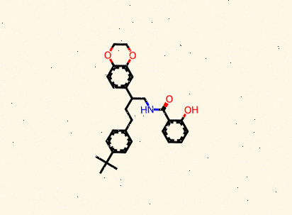 CC(C)(C)c1ccc(CCC(CNC(=O)c2ccccc2O)c2ccc3c(c2)OCCO3)cc1